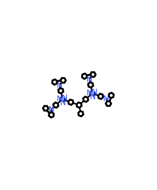 c1ccc(-c2cc(-c3ccc(-c4nc(-c5ccc(-n6c7ccccc7c7ccccc76)cc5)nc(-c5ccc(-n6c7ccccc7c7ccccc76)cc5)n4)cc3)cc(-c3ccc(-c4nc(-c5ccc(-n6c7ccccc7c7ccccc76)cc5)nc(-c5ccc(-n6c7ccccc7c7ccccc76)cc5)n4)cc3)c2)cc1